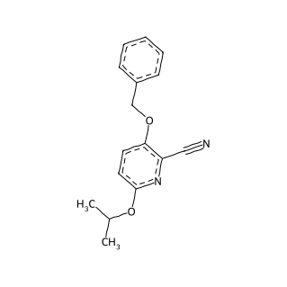 CC(C)Oc1ccc(OCc2ccccc2)c(C#N)n1